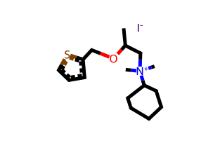 CC(C[N+](C)(C)C1CCCCC1)OCc1cccs1.[I-]